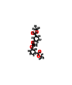 CC(C)(C)OC(=O)c1cccc(OBOc2cccc(C(=O)OC(C)(C)C)c2)c1